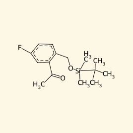 CC(=O)c1cc(F)ccc1CO[Si](C)(C)C(C)(C)C